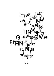 CCC(=O)Nc1cc(Nc2cc(N3OCCC3c3ccccc3)ncn2)c(OC)cc1N1CCN(C)CC1